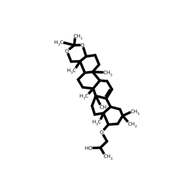 CC(O)COC1CC(C)(C)CC2C3=CCC4C5(C)CCC6OC(C)(C)OCC6(C)C5CCC4(C)C3(C)CCC12C